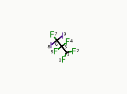 FC(F)C(F)(F)C(F)(I)I